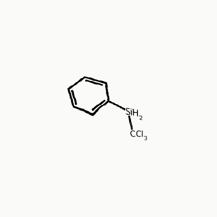 ClC(Cl)(Cl)[SiH2]c1ccccc1